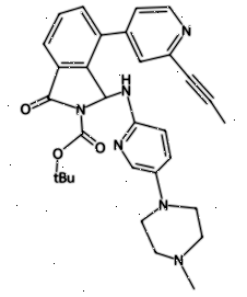 CC#Cc1cc(-c2cccc3c2C(Nc2ccc(N4CCN(C)CC4)cn2)N(C(=O)OC(C)(C)C)C3=O)ccn1